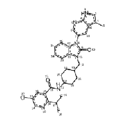 Cc1c[nH]c2ncc(-n3c(=O)n(CC4CCC(NC(=O)c5cc(Cl)cnc5C(F)F)CC4)c4ccccc43)cc12